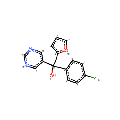 OC(c1ccc(Cl)cc1)(c1cncnc1)c1ccco1